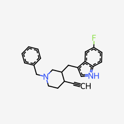 C#CC1CCN(Cc2ccccc2)CC1Cc1c[nH]c2ccc(F)cc12